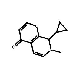 CN1C=Cc2c(occc2=O)C1C1CC1